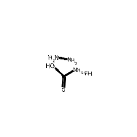 F.NC(=O)O.NN